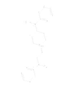 NC(CCN1CCC(C(O)c2ccccc2)CC1)c1ccccc1